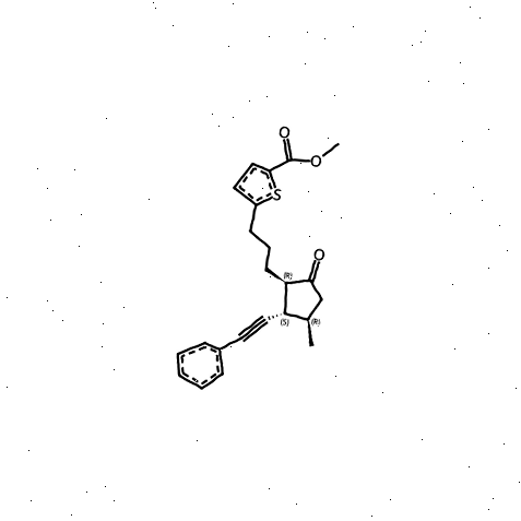 COC(=O)c1ccc(CCC[C@H]2C(=O)C[C@@H](C)[C@@H]2C#Cc2ccccc2)s1